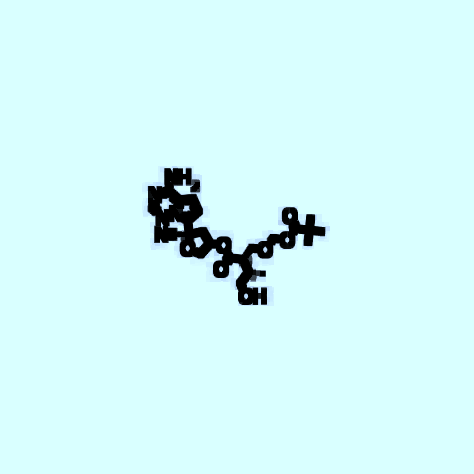 C[C@H](CO)[C@H](COCOC(=O)C(C)(C)C)C(=O)OC1CO[C@@](C#N)(c2ccc3c(N)ncnn23)C1